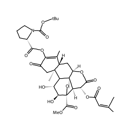 COC(=O)[C@@]12OC[C@]34C([C@@H](O)[C@@H]1O)[C@@]1(C)CC(=O)C(OC(=O)[C@@H]5CCCN5C(=O)OC(C)(C)C)=C(C)[C@@H]1C[C@H]3OC(=O)[C@H](OC(=O)C=C(C)C)[C@@H]24